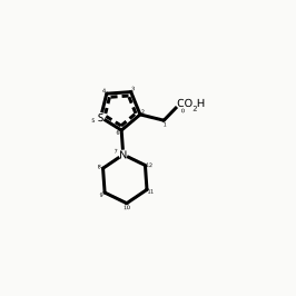 O=C(O)Cc1ccsc1N1CCCCC1